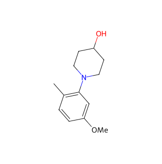 COc1ccc(C)c(N2CCC(O)CC2)c1